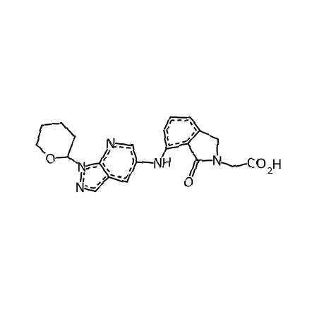 O=C(O)CN1Cc2cccc(Nc3cnc4c(cnn4C4CCCCO4)c3)c2C1=O